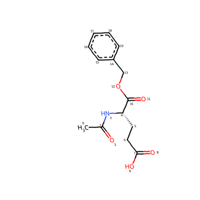 CC(=O)N[C@@H](CCC(=O)O)C(=O)OCc1ccccc1